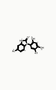 CCc1cc(-n2c(=O)[nH]c3cc(C(C)=O)ccc32)c(O)cc1O